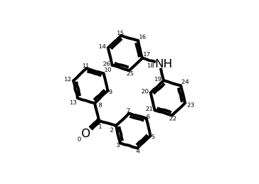 O=C(c1ccccc1)c1ccccc1.c1ccc(Nc2ccccc2)cc1